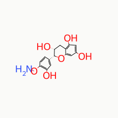 NOc1ccc([C@H]2Oc3cc(O)cc(O)c3C[C@H]2O)cc1O